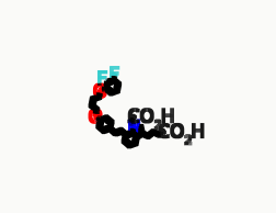 O=C(O)CCCc1cn(CC(=O)O)c2c(/C=C/c3ccc(OC/C=C\COc4cccc(F)c4F)cc3)cccc12